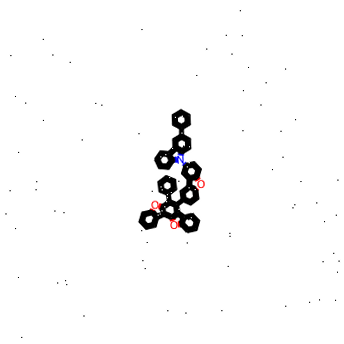 c1ccc(-c2ccc3c(c2)c2ccccc2n3-c2ccc3oc4ccc(-c5c(-c6ccccc6)c6oc7ccccc7c6c6oc7ccccc7c56)cc4c3c2)cc1